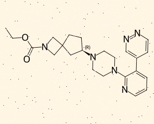 CCOC(=O)N1CC2(CC[C@@H](N3CCN(c4ncccc4-c4ccnnc4)CC3)C2)C1